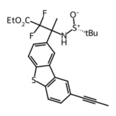 CC#Cc1ccc2sc3ccc(C(C)(N[S@+]([O-])C(C)(C)C)C(F)(F)C(=O)OCC)cc3c2c1